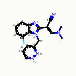 CN(C)C=C(C#N)c1nc2cccc(F)c2n1Cc1cccnn1